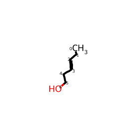 CCC=CCCO